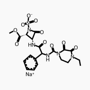 CCN1CCN(C(=O)NC(C(=O)N[C@H]2C(=O)N(S(=O)(=O)[O-])[C@H]2C(=O)OC)c2ccccc2)C(=O)C1=O.[Na+]